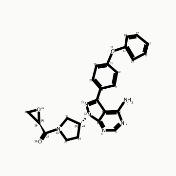 Nc1ncnc2c1c(-c1ccc(Oc3ccccc3)cc1)nn2[C@@H]1CCN(C(=O)[C@H]2CO2)C1